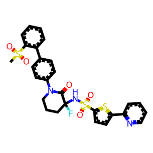 CS(=O)(=O)c1ccccc1-c1ccc(N2CCCC(F)(NS(=O)(=O)c3ccc(-c4ccccn4)s3)C2=O)cc1